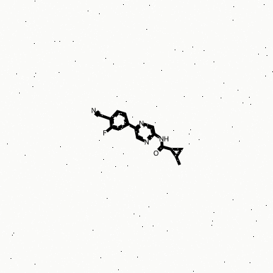 CC1CC1C(=O)Nc1cnc(-c2ccc(C#N)c(F)c2)cn1